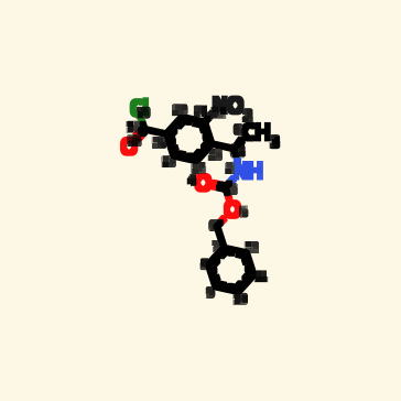 C[C@@H](NC(=O)OCc1ccccc1)c1ccc(C(=O)Cl)cc1[N+](=O)[O-]